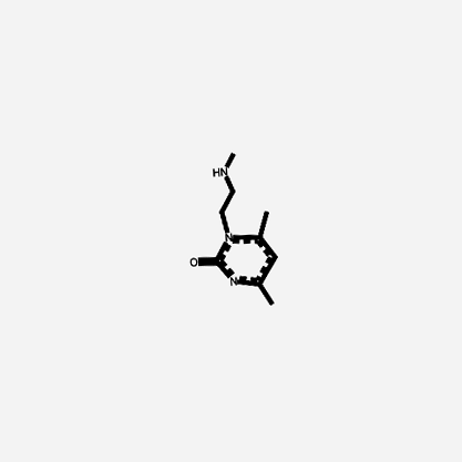 CNCCn1c(C)cc(C)nc1=O